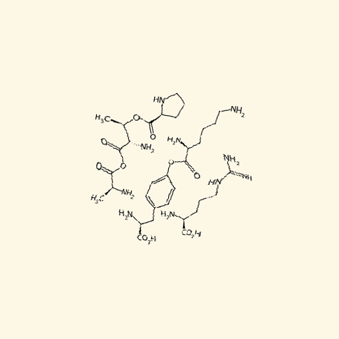 C[C@H](N)C(=O)OC(=O)[C@@H](N)[C@@H](C)OC(=O)[C@@H]1CCCN1.N=C(N)NCCC[C@H](N)C(=O)O.NCCCC[C@H](N)C(=O)Oc1ccc(C[C@H](N)C(=O)O)cc1